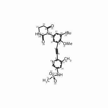 COc1c(C#Cc2ncc(NS(C)(=O)=O)cc2C)cc(N2C(=O)CCNC2=O)cc1C(C)(C)C